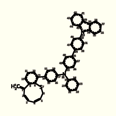 C=C1/C=C\C=C/CSc2c1cccc2-c1ccc(N(c2ccccc2)c2ccc(-c3ccc(-n4c5ccccc5c5ccccc54)cc3)cc2)cc1